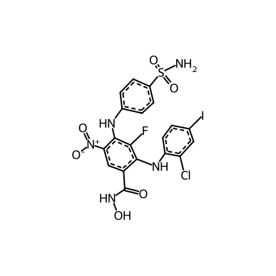 NS(=O)(=O)c1ccc(Nc2c([N+](=O)[O-])cc(C(=O)NO)c(Nc3ccc(I)cc3Cl)c2F)cc1